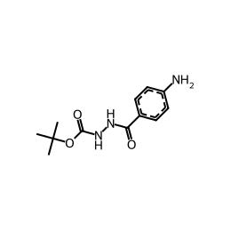 CC(C)(C)OC(=O)NNC(=O)c1ccc(N)cc1